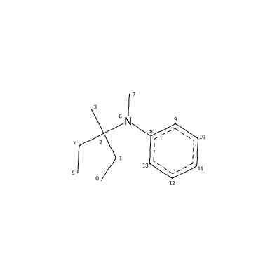 CCC(C)(CC)N(C)c1ccccc1